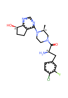 C[C@H]1CN(C(=O)[C@H](N)Cc2ccc(Cl)c(F)c2)CCN1c1ncnc2c1CC[C@H]2O